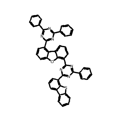 c1ccc(-c2nc(-c3cccc4c3oc3cccc(-c5nc(-c6ccccc6)nc(-c6ccccc6)n5)c34)nc(-c3cccc4c3sc3ccccc34)n2)cc1